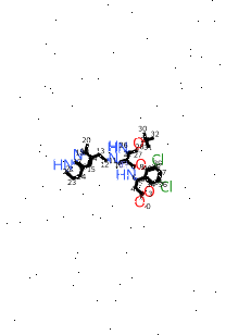 COC(=O)CC(NC(=O)/C(=C/NCCc1cc2c(nc1C)NCCC2)C(=N)COC(C)(C)C)c1cc(Cl)cc(Cl)c1